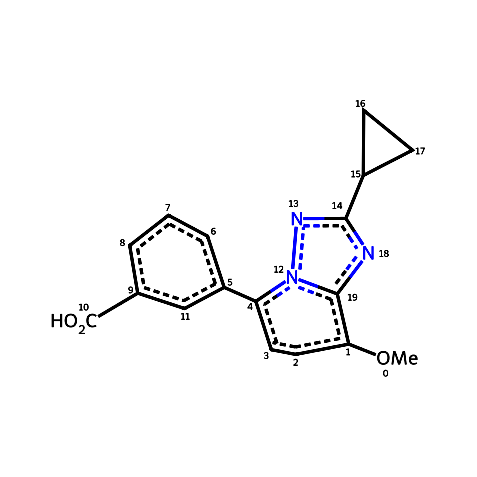 COc1ccc(-c2cccc(C(=O)O)c2)n2nc(C3CC3)nc12